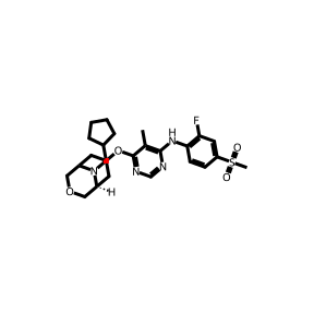 Cc1c(Nc2ccc(S(C)(=O)=O)cc2F)ncnc1OC1CC2COC[C@H](C1)N2CC1CCCC1